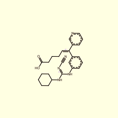 N#C/N=C(\Nc1cccc(/C(=C\CCCC(=O)O)c2cccnc2)c1)NC1CCCCC1